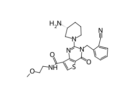 COCCNC(=O)c1csc2c(=O)n(Cc3ccccc3C#N)c(N3CCC[C@@H](N)C3)nc12